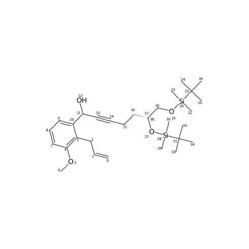 C=CCc1c(OC)cccc1C(O)C#CCC[C@H](CO[Si](C)(C)C(C)(C)C)O[Si](C)(C)C(C)(C)C